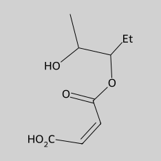 CCC(OC(=O)/C=C\C(=O)O)C(C)O